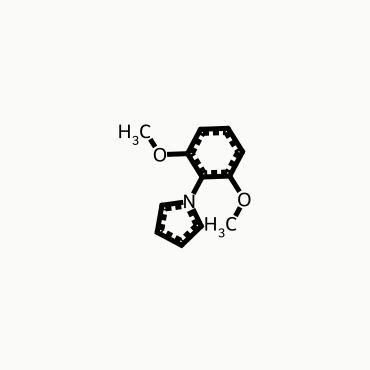 COc1cccc(OC)c1-n1cccc1